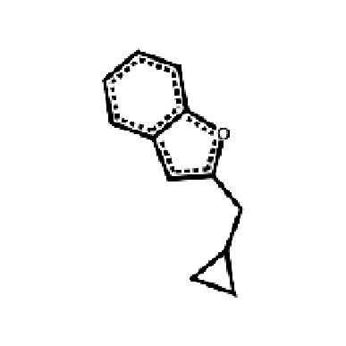 c1ccc2oc(CC3CC3)cc2c1